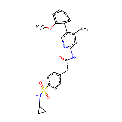 COc1ccccc1-c1cnc(NC(=O)Cc2ccc(S(=O)(=O)NC3CC3)cc2)cc1C